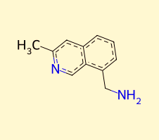 Cc1cc2cccc(CN)c2cn1